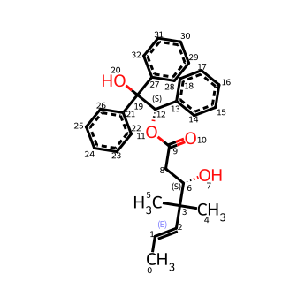 C/C=C/C(C)(C)[C@@H](O)CC(=O)O[C@@H](c1ccccc1)C(O)(c1ccccc1)c1ccccc1